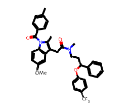 COc1ccc2c(c1)c(CC(=O)N(C)CCC(Oc1ccc(C(F)(F)F)cc1)c1ccccc1)c(C)n2C(=O)c1ccc(C)cc1